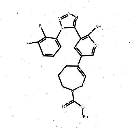 CC(C)(C)OC(=O)N1CC=C(c2cnc(N)c(-c3nnnn3-c3cccc(F)c3F)c2)CCC1